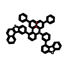 c1ccc(-c2cccc(-c3c(-c4ccc5sc6ccc7ccccc7c6c5c4)cccc3N(c3cccc(-c4ccccc4)c3)c3cccc(-c4cccc5oc6ccccc6c45)c3)c2)cc1